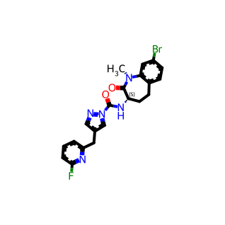 CN1C(=O)[C@@H](NC(=O)n2cc(Cc3cccc(F)n3)cn2)CCc2ccc(Br)cc21